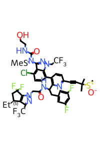 CC[C@H]1CC(F)(F)c2c1c(C(F)(F)F)nn2CC(=O)NC(Cc1cc(F)cc(F)c1)c1nc(C#CC(C)(C)[S+](C)[O-])ccc1-c1ccc(Cl)c2c(N(SC)C(=O)NCCO)nn(CC(F)(F)F)c12